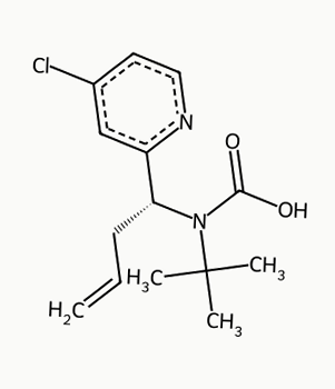 C=CC[C@H](c1cc(Cl)ccn1)N(C(=O)O)C(C)(C)C